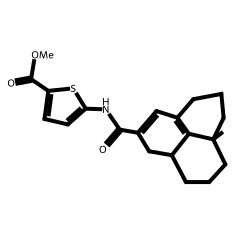 COC(=O)c1ccc(NC(=O)C2=CC3=C4C(CCCC4(C)CCC3)C2)s1